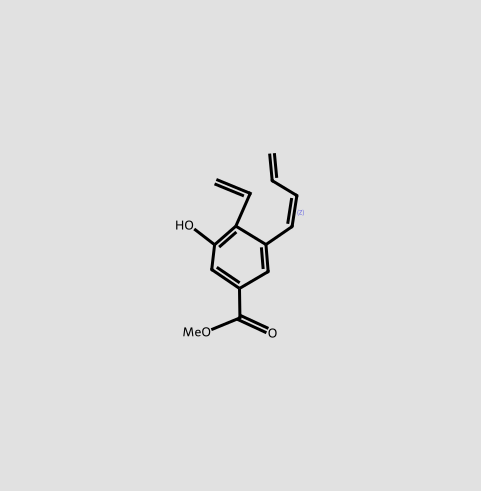 C=C/C=C\c1cc(C(=O)OC)cc(O)c1C=C